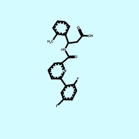 Cc1ccccc1C(CC(=O)O)NC(=O)c1cccc(-c2cc(F)ccc2F)n1